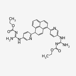 CCOC(=O)N=C(N)Nc1ccc(-c2ccc3cccc4c3c2C=CC4c2ccc(NC(N)=NC(=O)OCC)cn2)nc1